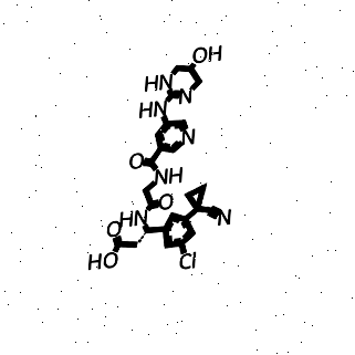 N#CC1(c2cc(Cl)cc([C@H](CC(=O)O)NC(=O)CNC(=O)c3cncc(NC4=NCC(O)CN4)c3)c2)CC1